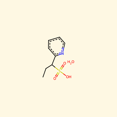 CCC(c1ccccn1)S(=O)(=O)O.O